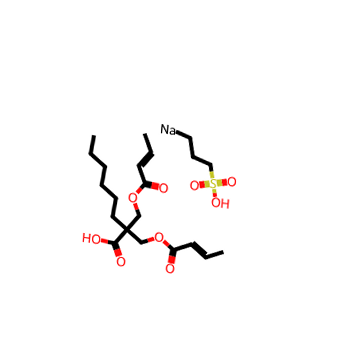 CC=CC(=O)OCC(CCCCCC)(COC(=O)C=CC)C(=O)O.O=S(=O)(O)CC[CH2][Na]